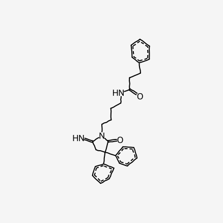 N=C1CC(c2ccccc2)(c2ccccc2)C(=O)N1CCCCNC(=O)CCc1ccccc1